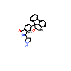 CCCCC(=O)C1(c2ccc3c(c2CCCC)C(C2CCNC2)=NC3=O)c2ccccc2-c2ccccc21